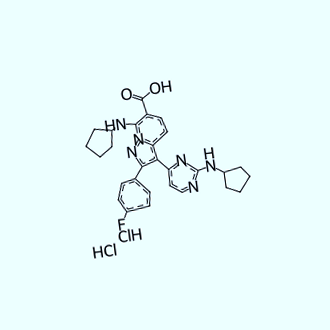 Cl.Cl.O=C(O)c1ccc2c(-c3ccnc(NC4CCCC4)n3)c(-c3ccc(F)cc3)nn2c1NC1CCCC1